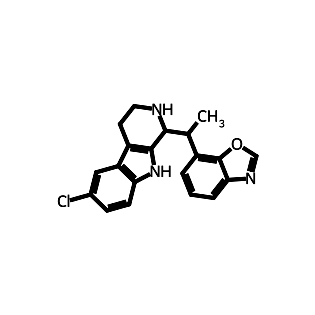 CC(c1cccc2ncoc12)C1NCCc2c1[nH]c1ccc(Cl)cc21